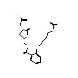 COC(=O)C[C@@H]1C[C@@H](CNC(=O)c2ccccc2OCCCCNC(=N)N)NC1=O.Cl